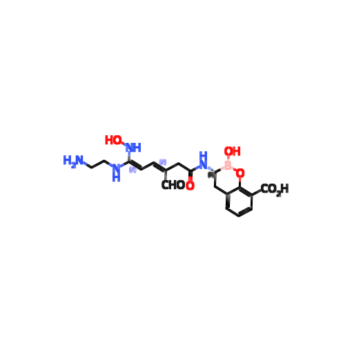 NCCN/C(=C/C=C(\C=O)CC(=O)N[C@H]1Cc2cccc(C(=O)O)c2OB1O)NO